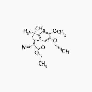 C#CCOc1cc2c(cc1OC)C(C)(C)CC2=C(C#N)C(=O)OCC